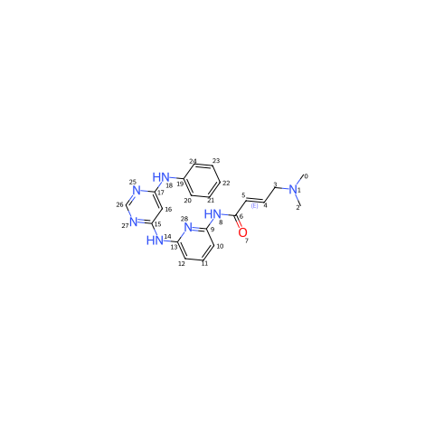 CN(C)C/C=C/C(=O)Nc1cccc(Nc2cc(Nc3ccccc3)ncn2)n1